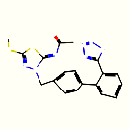 CCCCC(=O)N=c1sc(SCC)nn1Cc1ccc(-c2ccccc2-c2nnn[nH]2)cc1